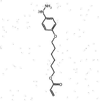 C=CC(=O)OCCCCCCOc1ccc(NN)cc1